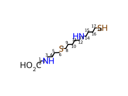 O=C(O)CNCCCCSCCCCCNCCCCS